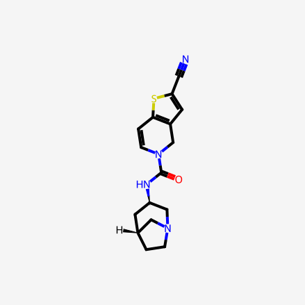 N#Cc1cc2c(s1)C=CN(C(=O)N[C@@H]1C[C@H]3CCN(C3)C1)C2